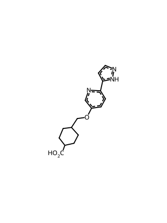 O=C(O)C1CCC(COc2ccc(-c3ccn[nH]3)nc2)CC1